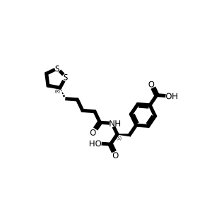 O=C(CCCC[C@@H]1CCSS1)N[C@@H](Cc1ccc(C(=O)O)cc1)C(=O)O